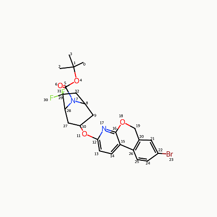 CC(C)(C)OC(=O)N1C2CC(Oc3ccc4c(n3)OCc3cc(Br)ccc3-4)CC1C(F)(F)C2